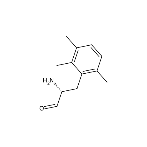 Cc1ccc(C)c(C[C@@H](N)C=O)c1C